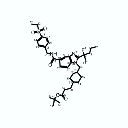 CCCC(F)(F)c1nc2cc(C(=O)NCc3ccc(S(=O)(=O)CC)cc3)ccc2n1CC1CCC(CCC(=O)OC(C)(C)C)CC1